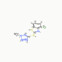 Cn1nnc(Sc2nc3c(Cl)cccc3s2)n1